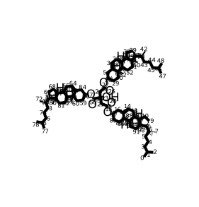 CC(C)CCC[C@@H](C)[C@H]1CC[C@H]2[C@@H]3CC=C4C[C@@H](OC(=O)CC(O)(CC(=O)O[C@@H]5CC[C@]6(C)C(=CC[C@@H]7[C@H]8CC[C@@H]([C@@H](C)CCCC(C)C)[C@]8(C)CC[C@H]76)C5)C(=O)O[C@H]5CC[C@@]6(C)C(=CC[C@H]7[C@@H]8CC[C@H]([C@H](C)CCCC(C)C)[C@@]8(C)CC[C@@H]76)C5)CC[C@]4(C)[C@H]3CC[C@]12C